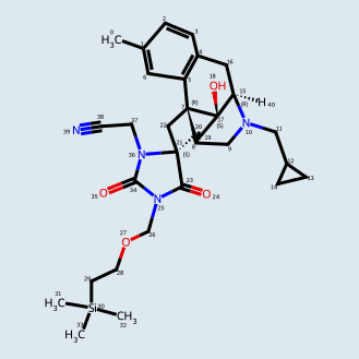 Cc1ccc2c(c1)[C@]13CCN(CC4CC4)[C@H](C2)[C@]1(O)CC[C@]1(C3)C(=O)N(COCC[Si](C)(C)C)C(=O)N1CC#N